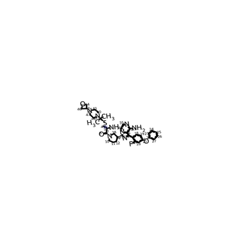 CC(C)(S/C=C(\N)C(=O)N1CCC[C@@H](c2nc(-c3ccc(Oc4ccccc4)cc3F)c3c(N)nccn23)C1)N1CCN(C2COC2)CC1